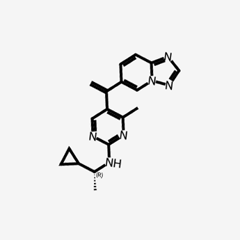 C=C(c1ccc2ncnn2c1)c1cnc(N[C@H](C)C2CC2)nc1C